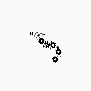 CC(C)Oc1ccc(N(C)CCC2(O)CCN(Cc3ccc(Oc4ccccc4)cc3)CC2)cc1